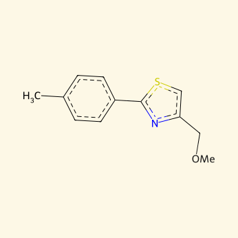 COCc1csc(-c2ccc(C)cc2)n1